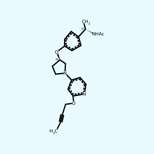 CC#CCOc1cc(N2CC[C@@H](Oc3ccc([C@H](C)NC(C)=O)cc3)C2)ccn1